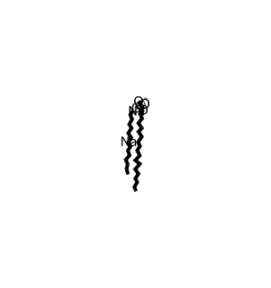 CCCCCCCCCCCCCCCCCCOS(=O)(=O)[O-].CCCCCCCCCCCCC[CH2][Na].[Na+]